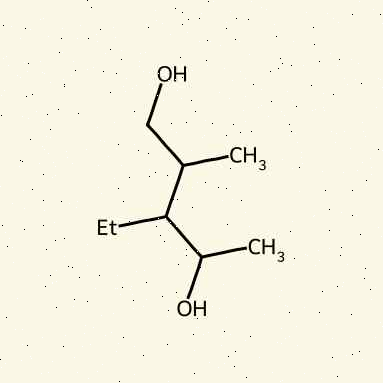 CCC(C(C)O)C(C)CO